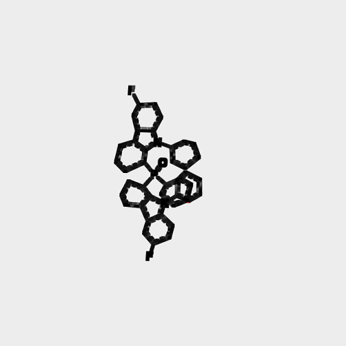 O=P(c1ccccc1)(c1cccc2c3cc(F)ccc3n(-c3ccccc3)c12)c1cccc2c3cc(F)ccc3n(-c3ccccc3)c12